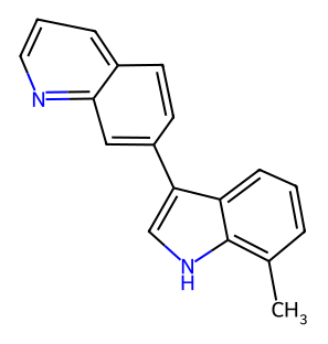 Cc1cccc2c(-c3ccc4cccnc4c3)c[nH]c12